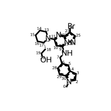 Cn1ccc2cc(CNc3cc(N4CCCC[C@H]4CCO)nc4c(Br)cnn34)ccc21